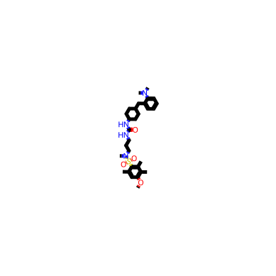 COc1cc(C)c(S(=O)(=O)N(C)CCCNC(=O)NC2CCC(Cc3ccccc3N(C)C)CC2)c(C)c1C